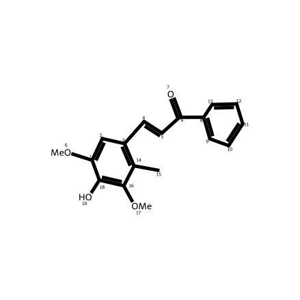 COc1cc(C=CC(=O)c2ccccc2)c(C)c(OC)c1O